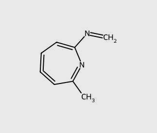 C=NC1=CC=C=CC(C)=N1